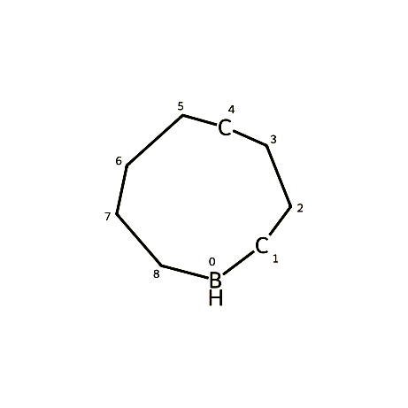 B1CCCCCCCC1